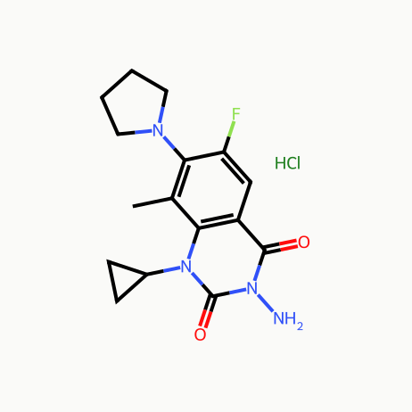 Cc1c(N2CCCC2)c(F)cc2c(=O)n(N)c(=O)n(C3CC3)c12.Cl